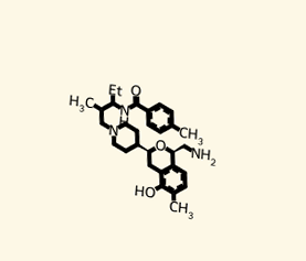 CCC(NC(=O)c1ccc(C)cc1)C(C)CN1CCC([C@@H]2Cc3c(ccc(C)c3O)[C@H](CN)O2)CC1